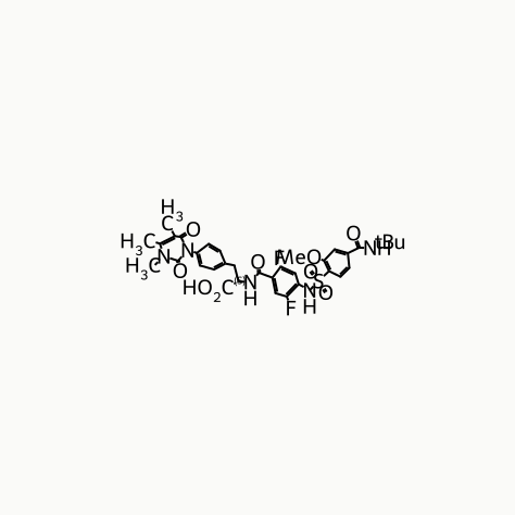 COc1cc(C(=O)NC(C)(C)C)ccc1S(=O)(=O)Nc1cc(F)c(C(=O)N[C@@H](Cc2ccc(-n3c(=O)c(C)c(C)n(C)c3=O)cc2)C(=O)O)cc1F